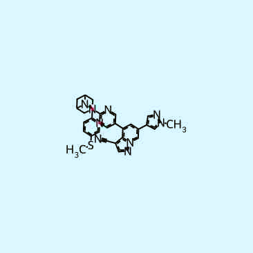 CSc1ccc(CN2C3CC2CN(c2ccc(-c4cc(-c5cnn(C)c5)cn5ncc(C#N)c45)cn2)C3)nc1